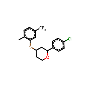 Cc1ccc(C(F)(F)F)cc1SC1CCOC(c2ccc(Cl)cc2)C1